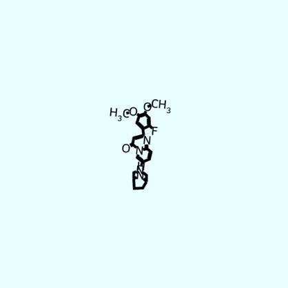 COc1cc(F)c(-c2cc(=O)n3cc(N4CC5CCC(C4)N5)ccc3n2)cc1OC